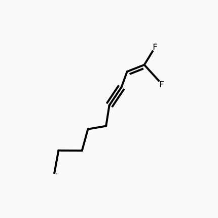 [CH2]CCCCC#CC=C(F)F